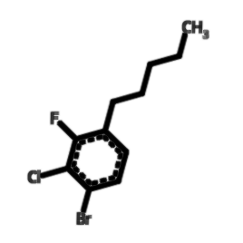 CCCCCc1ccc(Br)c(Cl)c1F